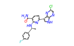 C[C@H](Nc1nc(-c2c[nH]c3ncc(Cl)nc23)ccc1C(N)=O)c1ccc(F)cc1